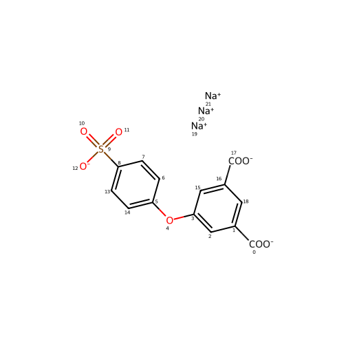 O=C([O-])c1cc(Oc2ccc(S(=O)(=O)[O-])cc2)cc(C(=O)[O-])c1.[Na+].[Na+].[Na+]